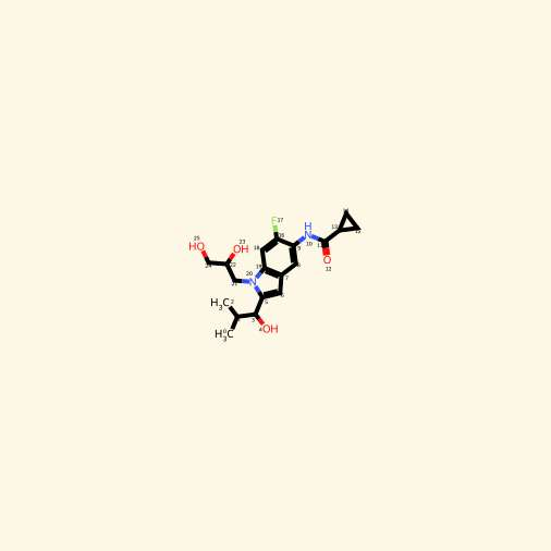 CC(C)C(O)c1cc2cc(NC(=O)C3CC3)c(F)cc2n1CC(O)CO